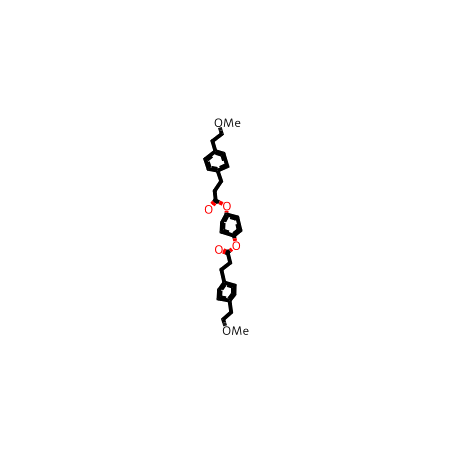 COCCc1ccc(CCC(=O)Oc2ccc(OC(=O)CCc3ccc(CCOC)cc3)cc2)cc1